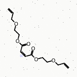 C=CCOCCOC(=O)/C=C\C(=O)OCCOCC=C